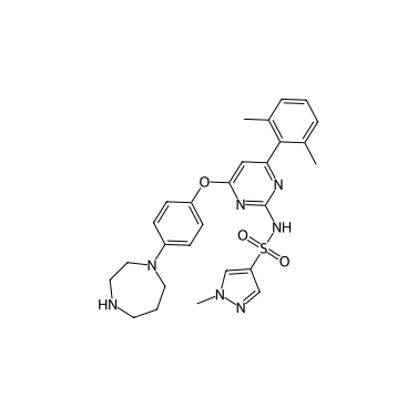 Cc1cccc(C)c1-c1cc(Oc2ccc(N3CCCNCC3)cc2)nc(NS(=O)(=O)c2cnn(C)c2)n1